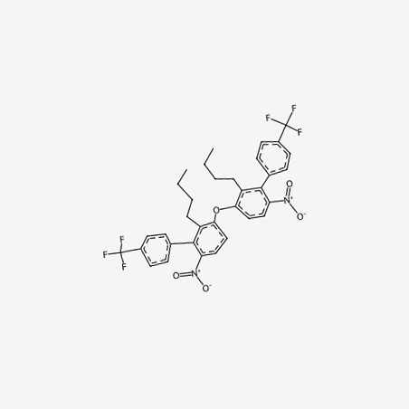 CCCCc1c(Oc2ccc([N+](=O)[O-])c(-c3ccc(C(F)(F)F)cc3)c2CCCC)ccc([N+](=O)[O-])c1-c1ccc(C(F)(F)F)cc1